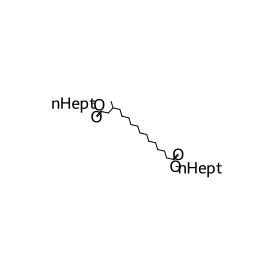 CCCCCCCOC(=O)CCCCCCCCCCCCC(C)CC(=O)OCCCCCCC